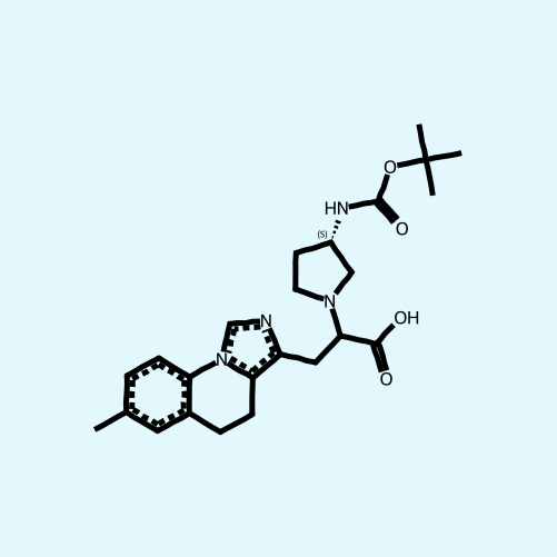 Cc1ccc2c(c1)CCc1c(CC(C(=O)O)N3CC[C@H](NC(=O)OC(C)(C)C)C3)ncn1-2